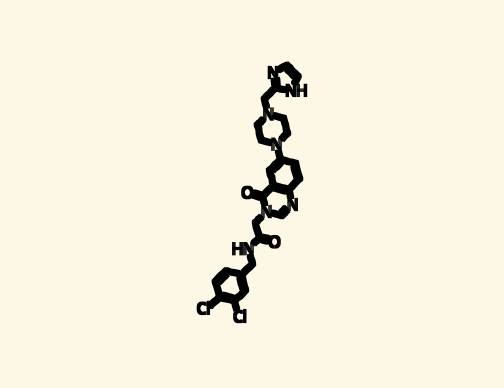 O=C(Cn1cnc2ccc(N3CCN(Cc4ncc[nH]4)CC3)cc2c1=O)NCc1ccc(Cl)c(Cl)c1